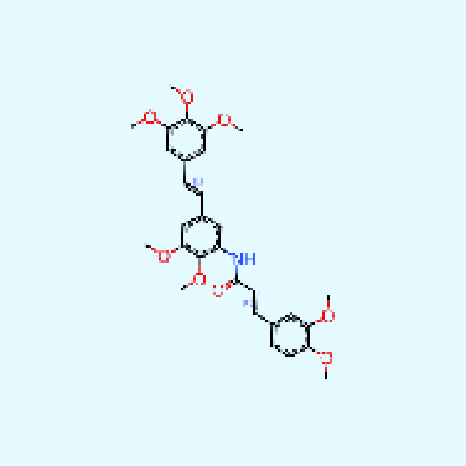 COc1ccc(/C=C/C(=O)Nc2cc(/C=C/c3cc(OC)c(OC)c(OC)c3)cc(OC)c2OC)cc1OC